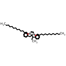 CCCCCCCCCCCCCCN1C=CN(CCCCCCCCCCCCCC)C1(Cc1ccccc1)C(CC)c1ccccc1